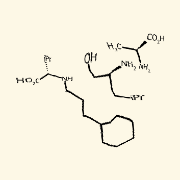 CC(C)C[C@H](N)CO.CC(C)[C@H](NCCCC1CCCCC1)C(=O)O.C[C@H](N)C(=O)O